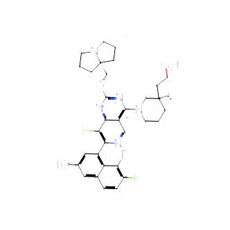 CCc1c(F)ccc2cc(O)cc(-c3ncc4c(N5CCCC(Cl)(CCO)C5)nc(OC[C@@]56CCCN5C[C@H](C)C6)nc4c3F)c12